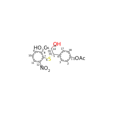 CC(=O)Oc1ccc([C@H](Sc2ccccc2[N+](=O)[O-])[C@@H](O)C(=O)O)cc1